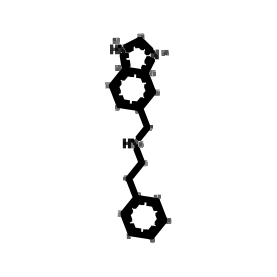 c1ccc(CCNCc2ccc3[nH]cnc3c2)cc1